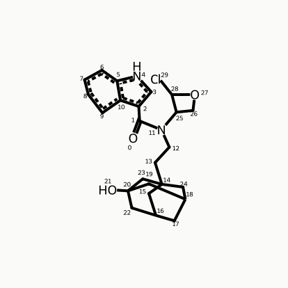 O=C(c1c[nH]c2ccccc12)N(CCC12CC3CC(CC(O)(C3)C1)C2)C1COC1Cl